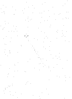 COCS(=O)(=O)OCCOCCOCCOCCOCCOCCO